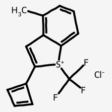 Cc1cccc2c1cc(C1=CC=C1)[s+]2C(F)(F)F.[Cl-]